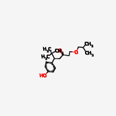 CC(C)COCCC(=O)CC(c1ccc(O)cc1)C(C)(C)C